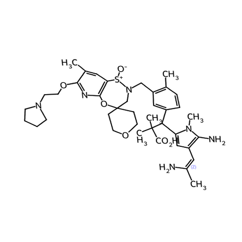 C/C(N)=C/c1cc(C(c2ccc(C)c(CN3CC4(CCOCC4)Oc4nc(OCCN5CCCC5)c(C)cc4[S+]3[O-])c2)C(C)(C)C(=O)O)n(C)c1N